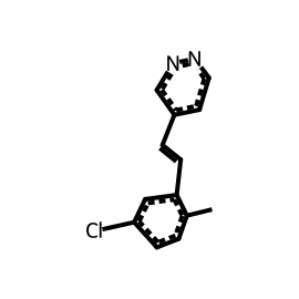 Cc1ccc(Cl)cc1C=Cc1ccnnc1